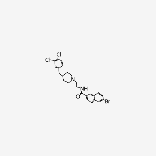 O=C(NCCN1CCC(Cc2ccc(Cl)c(Cl)c2)CC1)c1ccc2cc(Br)ccc2c1